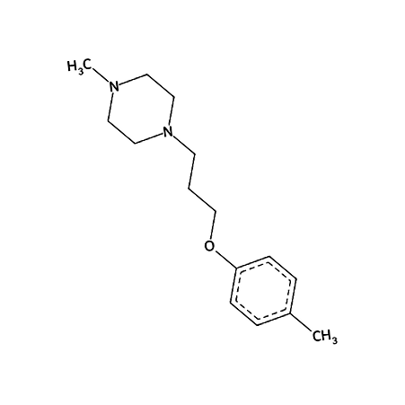 Cc1ccc(OCCCN2CCN(C)CC2)cc1